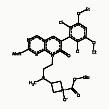 CCOc1cc(OCC)c(Cl)c(-c2cc3cnc(NC)nc3n(CCN(C)C3C[N+]([O-])(C(=O)OC(C)(C)C)C3)c2=O)c1Cl